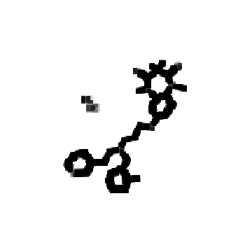 Cc1ccccc1CN(CCCOc1ccc2c(c1)N(C)C(=O)C(C)(C)C(=O)N2C)CCc1cccnc1.Cl.Cl